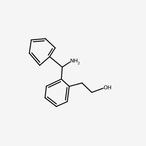 NC(c1ccccc1)c1ccccc1CCO